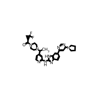 CC(c1ccnc(Nc2nc3ccc(-c4cc(N5CCCC5)ncn4)cc3[nH]2)c1)N1CCN(C(=O)C2=CC2(F)F)CC1